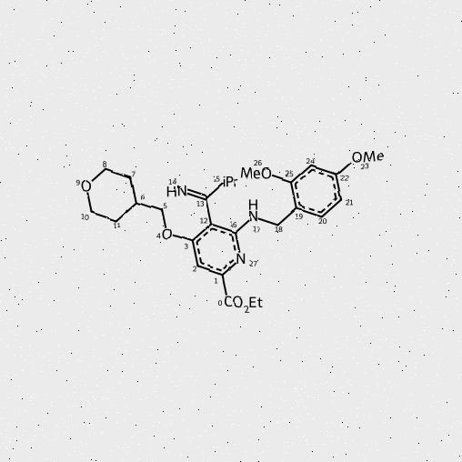 CCOC(=O)c1cc(OCC2CCOCC2)c(C(=N)C(C)C)c(NCc2ccc(OC)cc2OC)n1